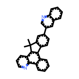 CC1(C)c2cc(-c3cnc4ccccc4c3)ccc2-c2c1c1cccnc1c1ccccc21